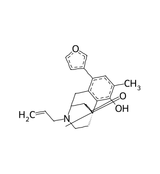 C=CCN1CC[C@@]23CC(=O)CCC2C1Cc1c(-c2ccoc2)cc(C)c(O)c13